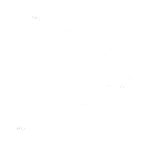 C=C(CCCCCCCCCO)OC(=C)CCCCCCCCCO